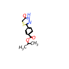 CC(C)OC(=O)c1ccc(C2=NNC(=O)CS2)cc1